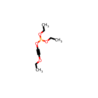 CCOC#COP(OCC)OCC